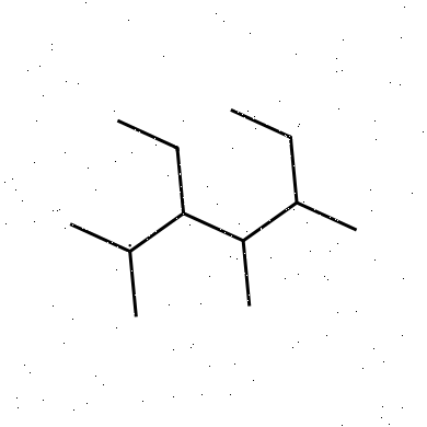 CCC(C)C(C)C(CC)[C](C)C